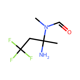 CN(C=O)C(C)(N)CC(F)(F)F